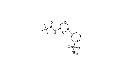 CC(C)(C)C(=O)NC1=COC=C(C2=CC(S(N)(=O)=O)=CCC2)O1